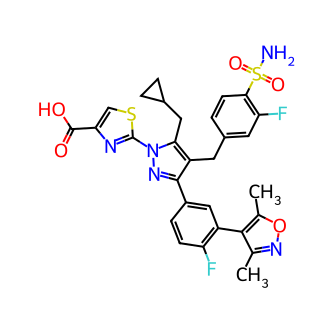 Cc1noc(C)c1-c1cc(-c2nn(-c3nc(C(=O)O)cs3)c(CC3CC3)c2Cc2ccc(S(N)(=O)=O)c(F)c2)ccc1F